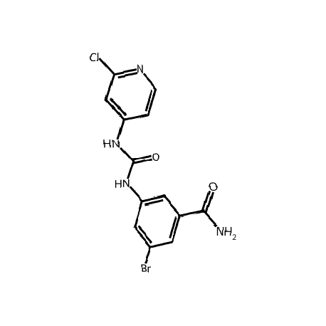 NC(=O)c1cc(Br)cc(NC(=O)Nc2ccnc(Cl)c2)c1